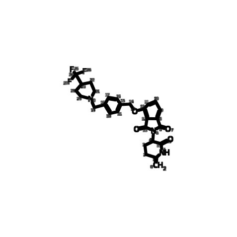 C=C1CCC(N2C(=O)c3cccc(OCc4ccc(CN5CCC(C(F)(F)F)CC5)cc4)c3C2=O)C(=O)N1